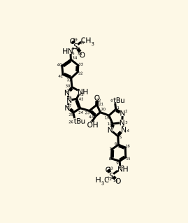 CC(C)(C)C1=Nn2nc(-c3ccc(NS(C)(=O)=O)cc3)nc2C1C1C(=O)C(c2c(C(C)(C)C)nn3nc(-c4ccc(NS(C)(=O)=O)cc4)[nH]c23)=C1O